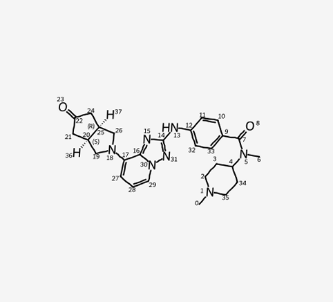 CN1CCC(N(C)C(=O)c2ccc(Nc3nc4c(N5C[C@H]6CC(=O)C[C@H]6C5)cccn4n3)cc2)CC1